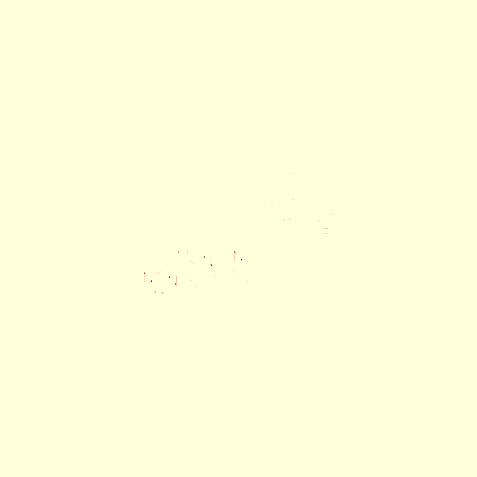 Cc1cn(-c2ccc3n(c2=O)CCN(CCOc2ccc(F)c4c2CC(F)(F)O4)C3=O)cn1